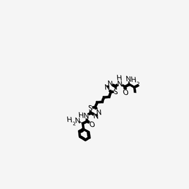 CC(C)[C@H](N)C(=O)Nc1nnc(CCCCc2nnc(NC(=O)[C@@H](N)c3ccccc3)s2)s1